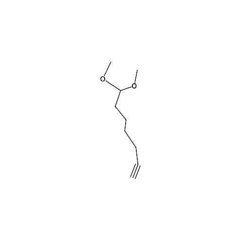 C#CCCCCC(OC)OC